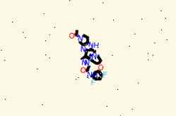 CNC(=O)Cn1cc(C2=NC3=C(CCN(C(C)=O)C3)NC2C[N+]2(C)CCC(Oc3ccc(F)cc3F)CC2)cn1